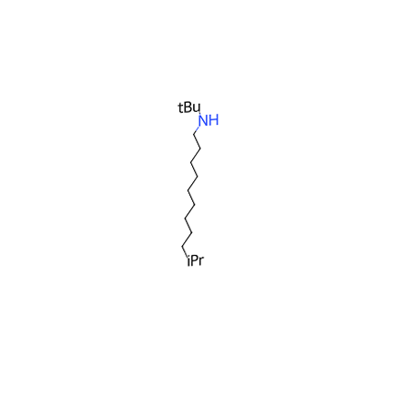 CC(C)CCCCCCCCCNC(C)(C)C